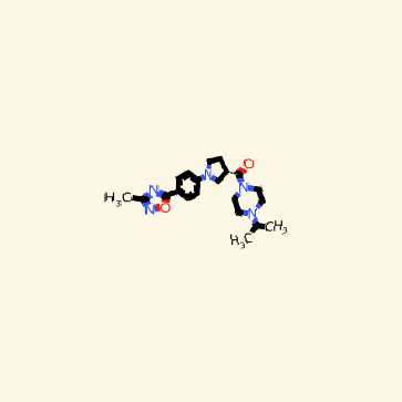 Cc1noc(-c2ccc(N3CC[C@H](C(=O)N4CCN(C(C)C)CC4)C3)cc2)n1